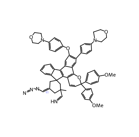 COc1ccc(C2(c3ccc(OC)cc3)C=Cc3c4c(c5cc(Oc6ccc(N7CCOCC7)cc6)c(-c6ccc(N7CCOCC7)cc6)cc5c3O2)-c2ccccc2C42C/C(=C\N=[N+]=[N-])CC(C)(C=N)C2)cc1